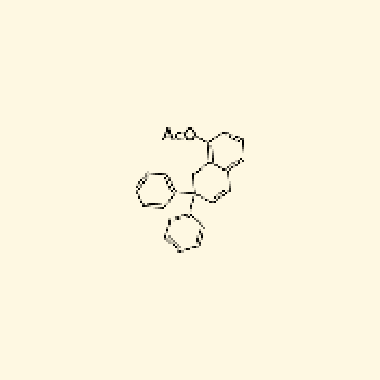 CC(=O)Oc1cccc2c1CC(c1ccccc1)(c1ccccc1)C=C2